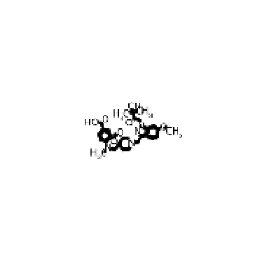 COc1ccc2c(CN3CCC(CN(C)c4ccc(C(=O)O)cc4)(OC=O)CC3)nn(CC(=O)C(C)(C)C)c2c1